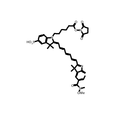 C=C1N=C(/C=C/C=C/C=C/C=C2/N(CCCCCC(=O)ON3C(=O)CCC3=O)c3ccc(S(=O)(=O)O)cc3C2(C)C)C(C)(C)/C1=C/C(=C\C)C(=O)N(C)OC